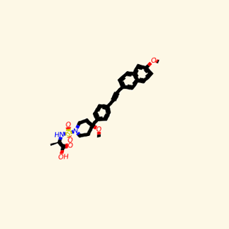 COc1ccc2cc(C#Cc3ccc(C4(OC)CCN(S(=O)(=O)N[C@H](C)C(=O)O)CC4)cc3)ccc2c1